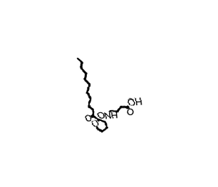 CCCCCCCCC=CC(=O)C1(ONCCCC(=O)O)CCCCO1